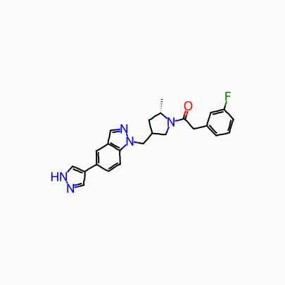 C[C@H]1CC(Cn2ncc3cc(-c4cn[nH]c4)ccc32)CN1C(=O)Cc1cccc(F)c1